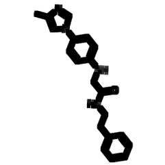 Cc1cn(-c2ccc(NCC(=O)NCCc3ccccc3)cc2)cn1